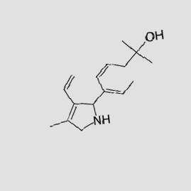 C=CC1=C(C)CNC1C(/C=C\CC(C)(C)O)=C/C